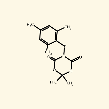 Cc1cc(C)c([I+][C-]2C(=O)OC(C)(C)OC2=O)c(C)c1